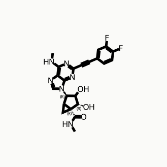 CNC(=O)[C@]12CC1[C@@H](n1cnc3c(NC)nc(C#Cc4ccc(F)c(F)c4)nc31)C(O)[C@@H]2O